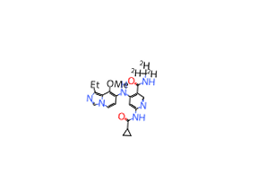 [2H]C([2H])([2H])NC(=O)c1cnc(NC(=O)C2CC2)cc1Nc1ccn2cnc(CC)c2c1OC